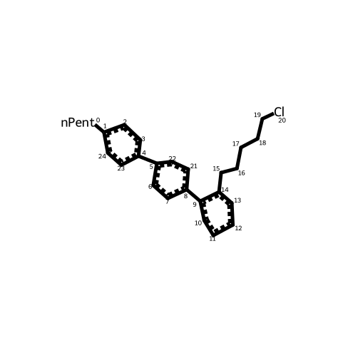 CCCCCc1ccc(-c2ccc(-c3ccccc3CCCCCCl)cc2)cc1